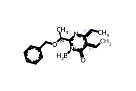 Bn1c([C@H](C)OCc2ccccc2)nc(=C/C)/c(=C\C)c1=O